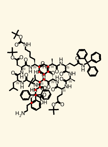 CC(C)C[C@H](NC(=O)C(C)(C)N)C(=O)N[C@@H](CC(=O)OC(C)(C)C)C(=O)N[C@@H](CCCCNC(=O)OC(C)(C)C)C(=O)N[C@@H](CCC(=O)NC(c1ccccc1)(c1ccccc1)c1ccccc1)C(=O)N[C@@H](C)C(=O)N[C@@H](CCC(=O)NC(c1ccccc1)(c1ccccc1)c1ccccc1)C(=O)N[C@@H](C)C(=O)N[C@@H](CCC(=O)OC(C)(C)C)C(=O)N[C@@H](Cc1ccccc1)C(=O)N[C@H](C(=O)N[C@@H](CCCCN)C(=O)O)C(C)C